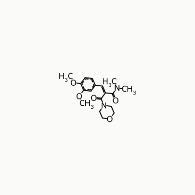 COc1ccc(C=C(C(=O)N(C)C)C(=O)N2CCOCC2)cc1OC